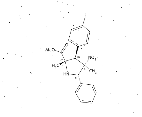 COC(=O)[C@@]1(C)N[C@@H](c2ccccc2)[C@@](C)([N+](=O)[O-])[C@@H]1c1ccc(F)cc1